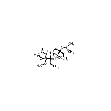 CCC(CC)(O[SiH](C)C)[Si](C)(C)OC(C)(CC)[Si](OC)(OC)OC